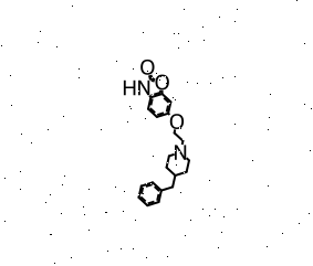 O=c1[nH]c2ccc(OCCN3CCC(Cc4ccccc4)CC3)cc2o1